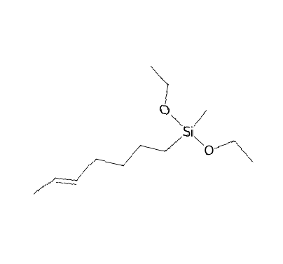 CC=CCCCC[Si](C)(OCC)OCC